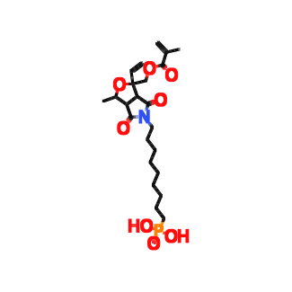 C=CC1(COC(=O)C(=C)C)OC(C)C2C(=O)N(CCCCCCCCCP(=O)(O)O)C(=O)C21